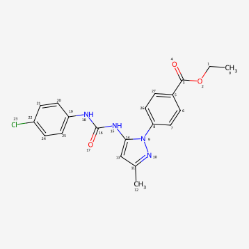 CCOC(=O)c1ccc(-n2nc(C)cc2NC(=O)Nc2ccc(Cl)cc2)cc1